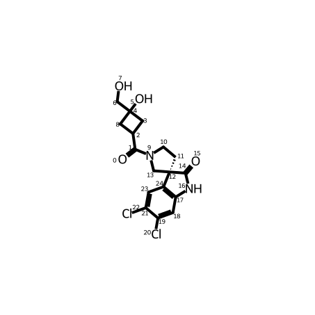 O=C(C1CC(O)(CO)C1)N1CC[C@]2(C1)C(=O)Nc1cc(Cl)c(Cl)cc12